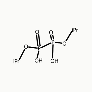 CC(C)OP(=O)(O)P(=O)(O)OC(C)C